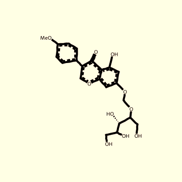 COc1ccc(-c2coc3cc(OCOC(CO)[C@@H](O)C(O)CO)cc(O)c3c2=O)cc1